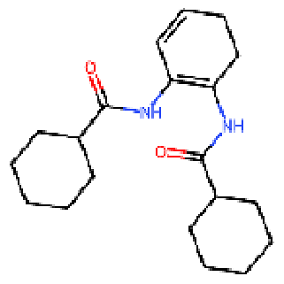 O=C(NC1=C(NC(=O)C2CCCCC2)CCC=C1)C1CCCCC1